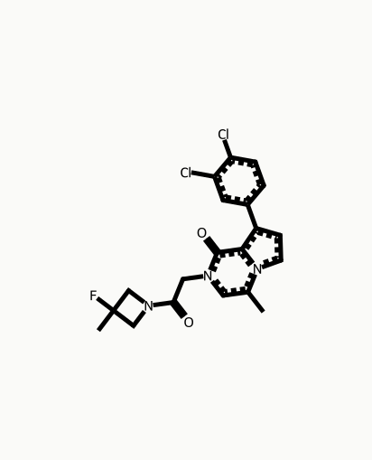 Cc1cn(CC(=O)N2CC(C)(F)C2)c(=O)c2c(-c3ccc(Cl)c(Cl)c3)ccn12